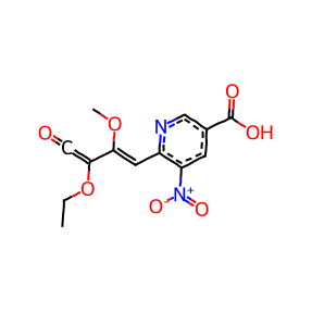 CCOC(=C=O)C(=Cc1ncc(C(=O)O)cc1[N+](=O)[O-])OC